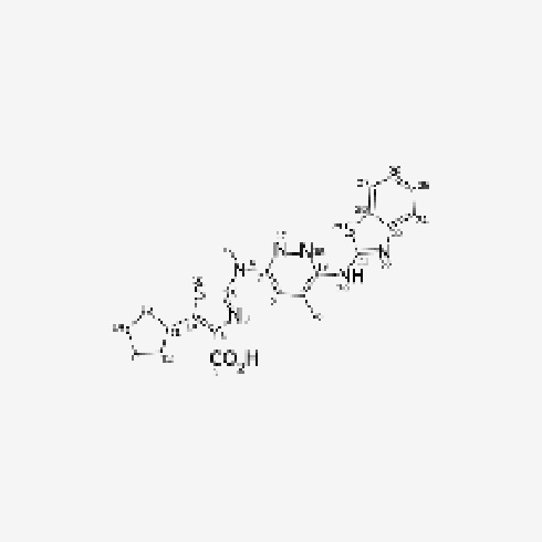 Cc1cc(N(C)c2nc(C(=O)O)c(C3CCCC3)s2)nnc1Nc1nc2ccccc2s1